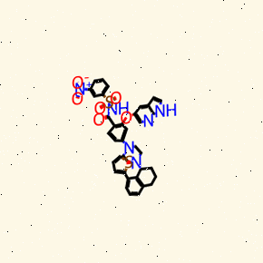 O=C(NS(=O)(=O)c1cccc([N+](=O)[O-])c1)c1ccc(N2CCN(C3CCCc4cccc(-c5cccs5)c43)CC2)cc1Oc1cnc2[nH]ccc2c1